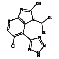 CCC(CC)n1c(O)nc2ncc(Cl)c(-c3nn[nH]n3)c21